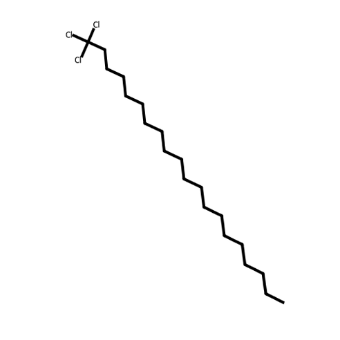 CCCCCCCCCCCCCCCCCCCC(Cl)(Cl)Cl